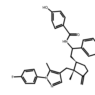 C=C1CC[C@H](CC(NC(=O)c2ccc(O)cc2)c2ccccc2)[C@@]1(C)Cc1cnn(-c2ccc(F)cc2)c1C